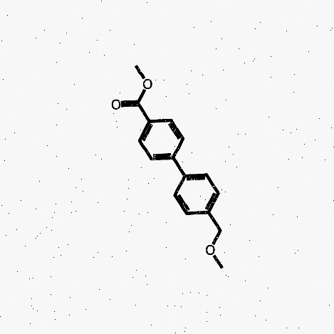 COCc1ccc(-c2ccc(C(=O)OC)cc2)cc1